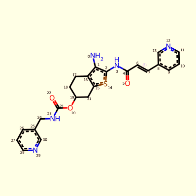 Nc1c(NC(=O)/C=C/c2cccnc2)sc2c1CCC(OC(=O)NCc1cccnc1)C2